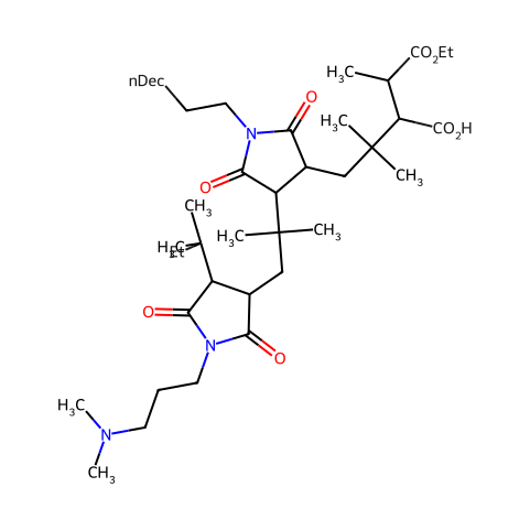 CCCCCCCCCCCCN1C(=O)C(CC(C)(C)C(C(=O)O)C(C)C(=O)OCC)C(C(C)(C)CC2C(=O)N(CCCN(C)C)C(=O)C2C(C)(C)CC)C1=O